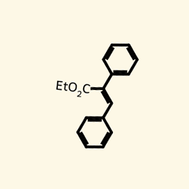 CCOC(=O)/C(=C\c1ccccc1)c1ccccc1